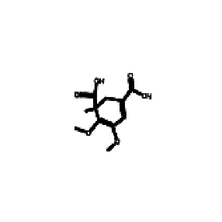 COC1=C(OC)C(C)(C(=O)O)CC(C(=O)O)=C1